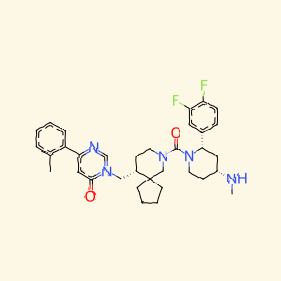 CN[C@@H]1CCN(C(=O)N2CC[C@@H](Cn3cnc(-c4ccccc4C)cc3=O)C3(CCCC3)C2)[C@H](c2ccc(F)c(F)c2)C1